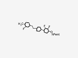 CCCCCOc1ccc(-c2ccc(CCc3ccc(C)c(F)c3)cc2)c(F)c1F